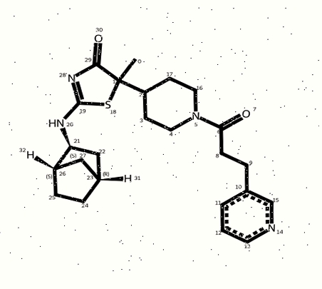 CC1(C2CCN(C(=O)CCc3cccnc3)CC2)SC(N[C@H]2C[C@@H]3CC[C@H]2C3)=NC1=O